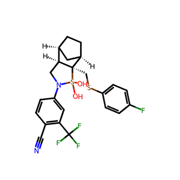 N#Cc1ccc(N2C[C@H]3[C@H]4CC[C@H](C4)[C@@]3(CSc3ccc(F)cc3)S2(O)O)cc1C(F)(F)F